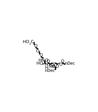 CCCCCCCCCCCC(=O)OC[C@H](CSC[C@H](N)C(=O)N[C@@H](CO)C(=O)NCCOCCOCCOCCC(=O)O)OC(=O)CCCCCCCCCCC